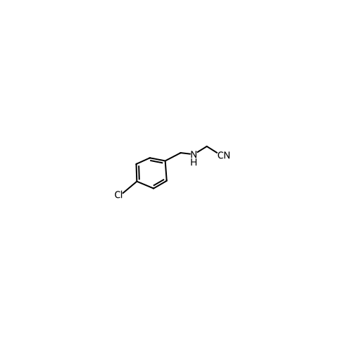 N#CCNCc1ccc(Cl)cc1